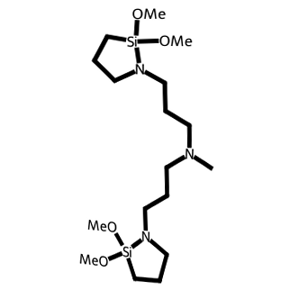 CO[Si]1(OC)CCCN1CCCN(C)CCCN1CCC[Si]1(OC)OC